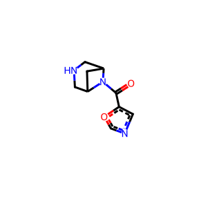 O=C(c1cnco1)N1C2CNCC1C2